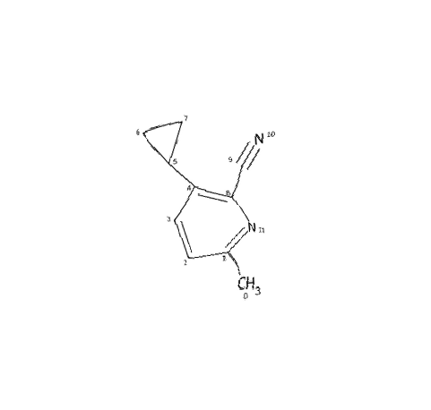 Cc1ccc(C2CC2)c(C#N)n1